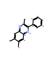 Cc1cc2nc(C)c(-c3ccccc3)nc2cc1C